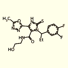 CCC(c1ccc(F)c(F)c1)n1c(C(=O)NCCO)c(-c2nnc(C)o2)[nH]c1=S